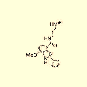 COc1ccc(C(=O)NCCCNC(C)C)c2nc(-c3cccs3)[nH]c12